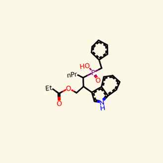 CCCC(C(COC(=O)CC)c1c[nH]c2ccccc12)P(=O)(O)Cc1ccccc1